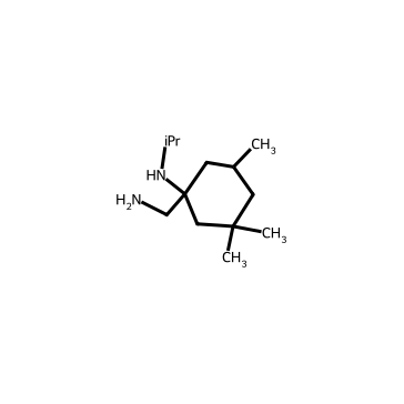 CC1CC(C)(C)CC(CN)(NC(C)C)C1